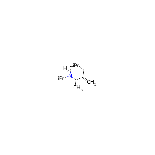 C=C(CC(C)C)C(C)N(C)C(C)C